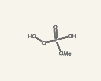 COP(=O)(O)OO